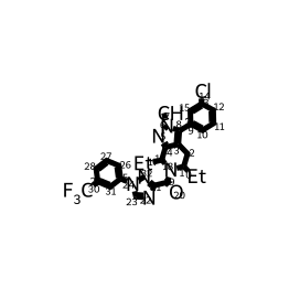 CCC1Cc2c(nn(C)c2-c2cccc(Cl)c2)C(CC)N1C(=O)c1ncn(-c2cccc(C(F)(F)F)c2)n1